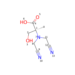 C[C@](CO)(C(=O)O)N(CC#N)CC#N